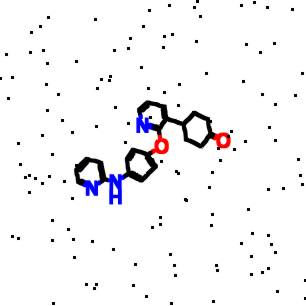 O=C1CCC(c2cccnc2Oc2ccc(Nc3ccccn3)cc2)CC1